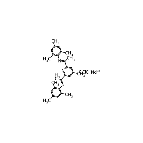 CC(=Nc1c(C)cc(C)cc1C)c1cc(C)cc(C(C)=Nc2c(C)cc(C)cc2C)n1.[Cl-].[Cl-].[Cl-].[Nd+3]